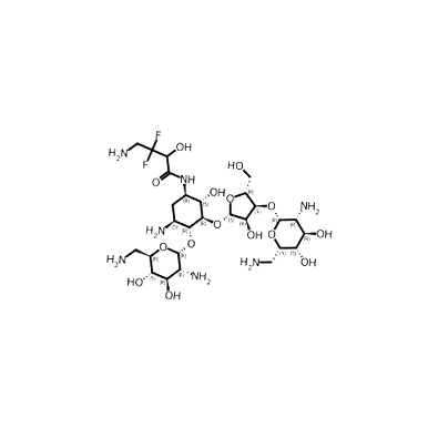 NC[C@@H]1O[C@H](O[C@H]2[C@@H](O)[C@H](O[C@@H]3[C@@H](O)[C@H](NC(=O)C(O)C(F)(F)CN)C[C@H](N)[C@H]3O[C@H]3O[C@H](CN)[C@@H](O)[C@H](O)[C@H]3N)O[C@@H]2CO)[C@H](N)[C@@H](O)[C@@H]1O